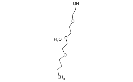 CCCCOCCOCCOCCO.O